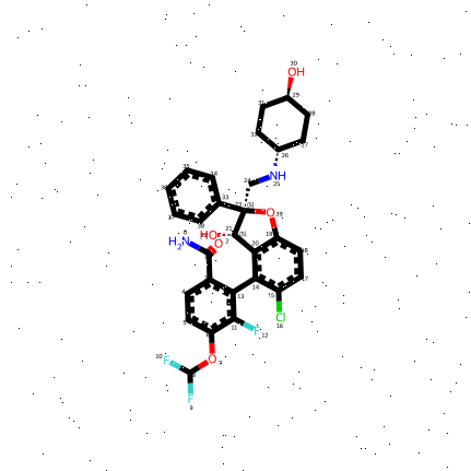 NC(=O)c1ccc(OC(F)F)c(F)c1-c1c(Cl)ccc2c1[C@H](O)[C@@](CN[C@H]1CC[C@H](O)CC1)(c1ccccc1)O2